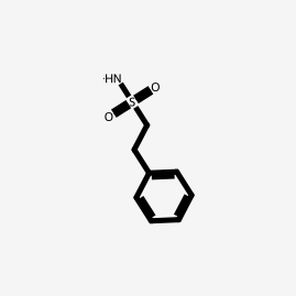 [NH]S(=O)(=O)CCc1ccccc1